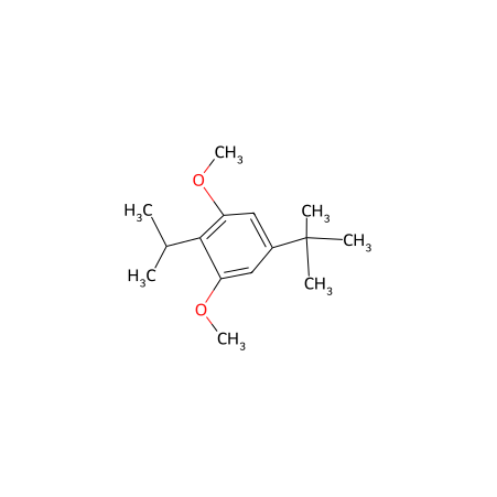 COc1cc(C(C)(C)C)cc(OC)c1C(C)C